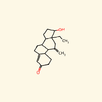 C=C1CC2(CC)C(O)CCC2C2CCC3=CC(=O)CCC3C12